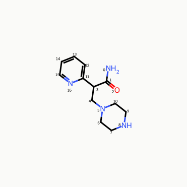 NC(=O)C(CN1CCNCC1)c1ccccn1